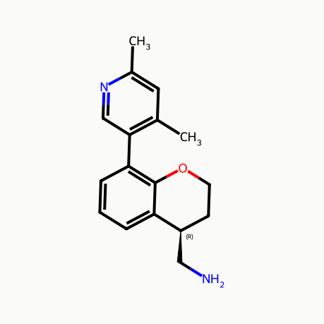 Cc1cc(C)c(-c2cccc3c2OCC[C@H]3CN)cn1